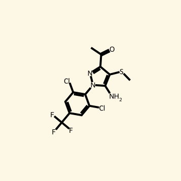 CSc1c(C(C)=O)nn(-c2c(Cl)cc(C(F)(F)F)cc2Cl)c1N